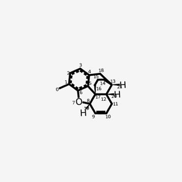 Cc1ccc2c3c1O[C@H]1C=CC[C@H]4[C@H](CCC[C@]314)C2